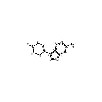 CN1CC=C(c2c[nH]c3cc(Br)ncc23)CC1